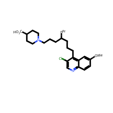 CCCC(CCCc1c(Cl)cnc2ccc(OC)cc12)CCCN1CCC(C(=O)O)CC1